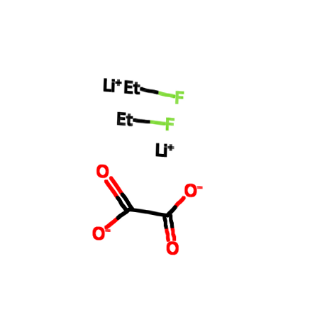 CCF.CCF.O=C([O-])C(=O)[O-].[Li+].[Li+]